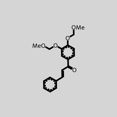 COCOc1ccc(C(=O)C=Cc2ccccc2)cc1OCOC